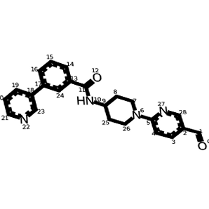 O=Cc1ccc(N2CCC(NC(=O)c3cccc(-c4cccnc4)c3)CC2)nc1